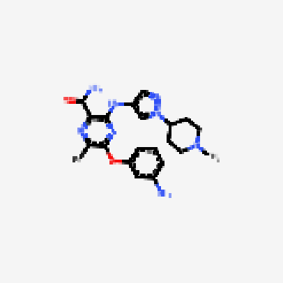 CC(C)c1nc(C(N)=O)c(Nc2cnn(C3CCN(C)CC3)c2)nc1Oc1cccc(N)c1